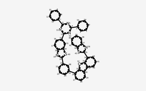 c1ccc(-c2nc(-c3ccccc3)nc(-c3ccc4nc(-c5cccc(-c6cccc7c6oc6c(-c8nc9ccccc9s8)cccc67)c5)sc4c3)n2)cc1